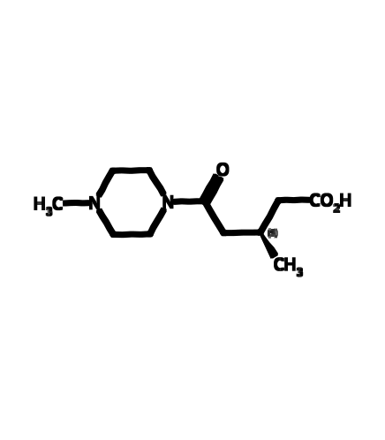 C[C@H](CC(=O)O)CC(=O)N1CCN(C)CC1